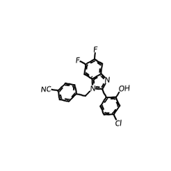 N#Cc1ccc(Cn2c(-c3ccc(Cl)cc3O)nc3cc(F)c(F)cc32)cc1